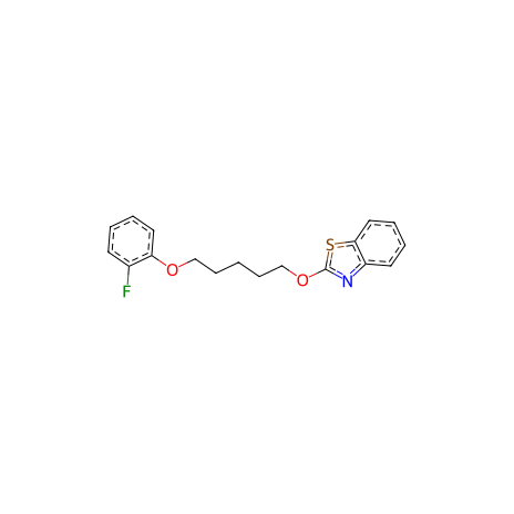 Fc1ccccc1OCCCCCOc1nc2ccccc2s1